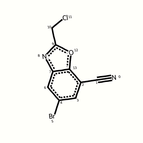 N#Cc1cc(Br)cc2nc(CCl)oc12